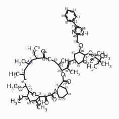 CCC1/C=C(\C)CC(C)CC(OC)C2OC(O)(C(=O)C(=O)N3CCCCC3C(=O)OC(C(C)=CC3CCC(O[Si](C)(C)C(C)(C)C)C(OCc4nc(-c5ccccc5)c[nH]4)C3)C(C)CCC1=O)C(C)CC2OC